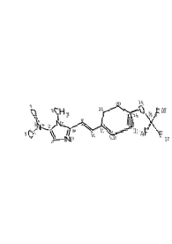 Cn1c([N+](=O)[O-])cnc1/C=C/C1=CC=C(OC(F)(F)F)CC1